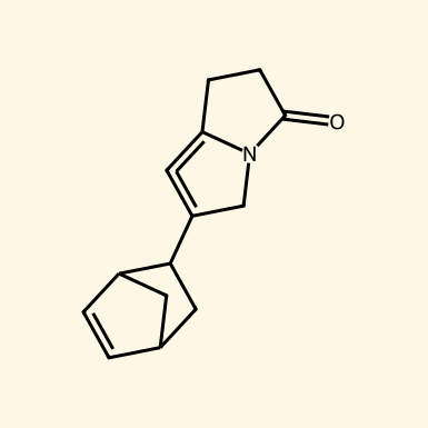 O=C1CCC2=C=C(C3CC4C=CC3C4)CN12